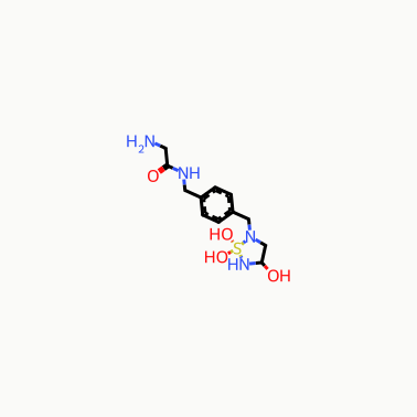 NCC(=O)NCc1ccc(CN2CC(O)NS2(O)O)cc1